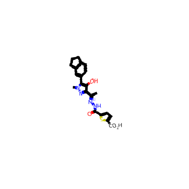 C/C(=N\NC(=O)c1ccc(C(=O)O)s1)c1nn(C)c(-c2ccc3c(c2)CCC3)c1O